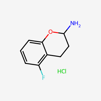 Cl.NC1CCc2c(F)cccc2O1